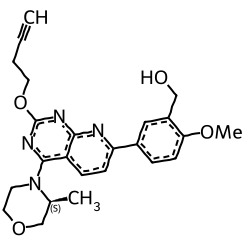 C#CCCOc1nc(N2CCOC[C@@H]2C)c2ccc(-c3ccc(OC)c(CO)c3)nc2n1